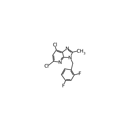 Cc1nc2c(Cl)cc(Cl)nc2n1Cc1ccc(F)cc1F